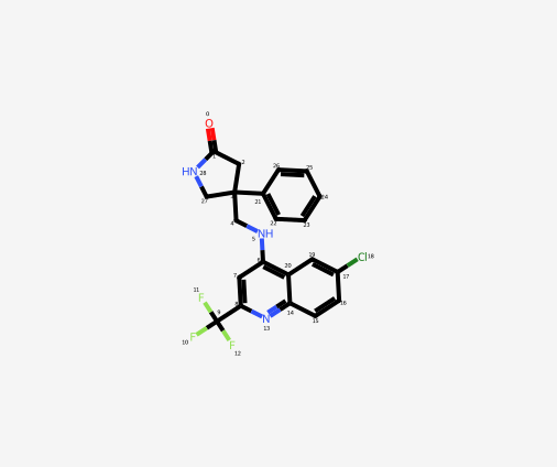 O=C1CC(CNc2cc(C(F)(F)F)nc3ccc(Cl)cc23)(c2ccccc2)CN1